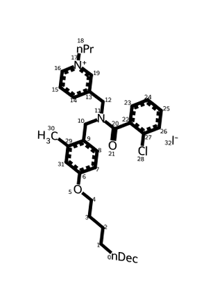 CCCCCCCCCCCCCCOc1ccc(CN(Cc2ccc[n+](CCC)c2)C(=O)c2ccccc2Cl)c(C)c1.[I-]